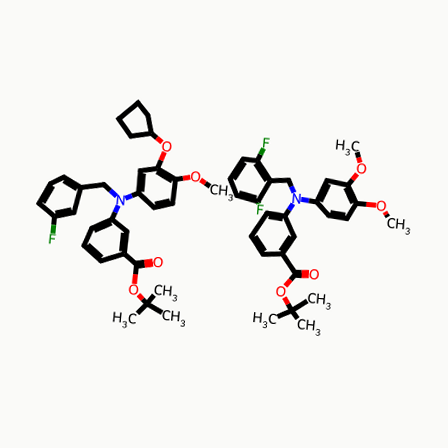 COc1ccc(N(Cc2c(F)cccc2F)c2cccc(C(=O)OC(C)(C)C)c2)cc1OC.COc1ccc(N(Cc2cccc(F)c2)c2cccc(C(=O)OC(C)(C)C)c2)cc1OC1CCCC1